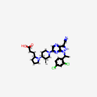 CC(c1ccc(Cl)cc1Cl)n1nc(C#N)c2ncc(N3CC[C@H](N4CCCC4CCC(=O)O)[C@H](C)C3)nc21